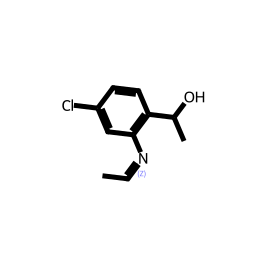 C/C=N\c1cc(Cl)ccc1C(C)O